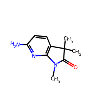 CN1C(=O)C(C)(C)c2ccc(N)nc21